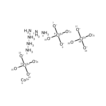 N.N.N.N.N.N.[Co+3].[O-][Cl+3]([O-])([O-])[O-].[O-][Cl+3]([O-])([O-])[O-].[O-][Cl+3]([O-])([O-])[O-]